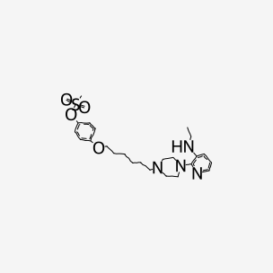 CCNc1cccnc1N1CCN(CCCCCCOc2ccc(OS(C)(=O)=O)cc2)CC1